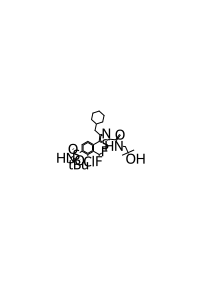 CC(C)(O)CNC(=O)c1nc(CC2CCCCC2)c(-c2ccc(S(=O)(=O)NC(C)(C)C)c(Cl)c2C(F)F)s1